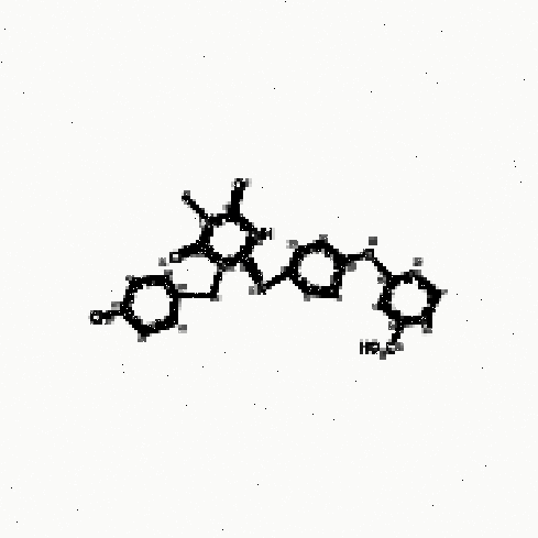 Cn1c(=O)[nH]/c(=N\c2ccc(Oc3cc(C(=O)O)ncn3)cc2)n(Cc2ccc(Cl)cc2)c1=O